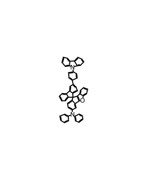 c1ccc(N(c2ccccc2)c2ccc3c(c2)-c2oc4ccccc4c2C32c3ccccc3-c3cc(-c4ccc(-n5c6ccccc6c6ccccc65)cc4)ccc32)cc1